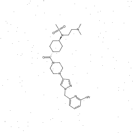 CCCc1cccc(Cn2cc(N3CCN(C(=O)[C@H]4CC[C@H](N(CCN(C)C)S(C)(=O)=O)CC4)CC3)cn2)n1